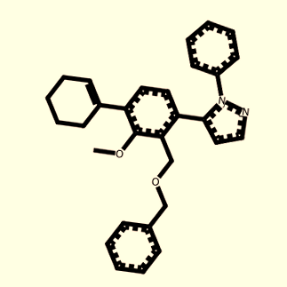 COc1c(C2=CCCCC2)ccc(-c2ccnn2-c2ccccc2)c1COCc1ccccc1